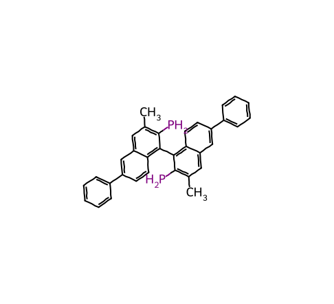 Cc1cc2cc(-c3ccccc3)ccc2c(-c2c(P)c(C)cc3cc(-c4ccccc4)ccc23)c1P